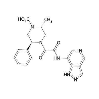 C[C@@H]1CN(C(=O)C(=O)Nc2cncc3cn[nH]c23)[C@@H](c2ccccc2)CN1C(=O)O